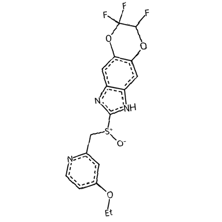 CCOc1ccnc(C[S+]([O-])c2nc3cc4c(cc3[nH]2)OC(F)C(F)(F)O4)c1